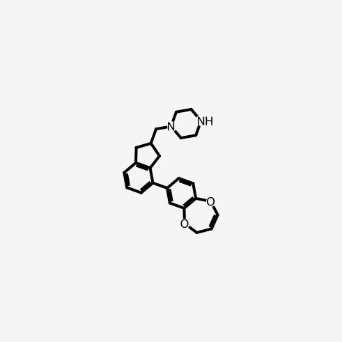 C1=COc2ccc(-c3cccc4c3CC(CN3CCNCC3)C4)cc2OC1